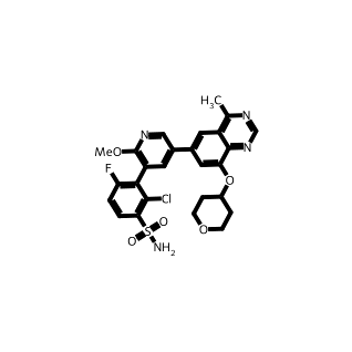 COc1ncc(-c2cc(OC3CCOCC3)c3ncnc(C)c3c2)cc1-c1c(F)ccc(S(N)(=O)=O)c1Cl